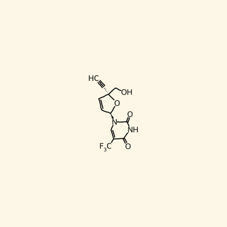 C#C[C@@]1(CO)C=C[C@H](n2cc(C(F)(F)F)c(=O)[nH]c2=O)O1